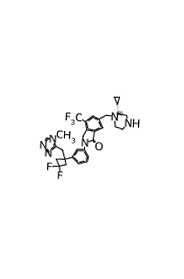 Cn1cnnc1CC1(c2cccc(N3Cc4c(cc(CN5CCNC[C@H]5C5CC5)cc4C(F)(F)F)C3=O)c2)CC(F)(F)C1